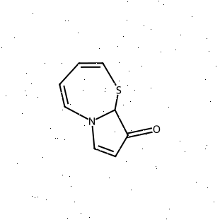 O=C1C=CN2C=CC=CSC12